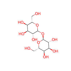 OC[C@@H]1O[C@@H](OC2O[C@@H](CO)[C@H](O)[C@H](O)[C@H]2O)[C@H](O)[C@@H](O)[C@H]1O